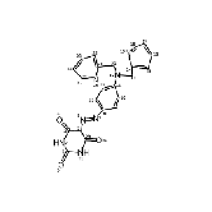 O=C1NC(=O)C(/N=N/c2ccc(N(Cc3ccccn3)Cc3ccccn3)cc2)C(=O)N1